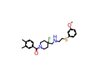 COc1cccc(SCCNCC2(F)CCN(C(=O)c3ccc(C)c(C)c3)CC2)c1